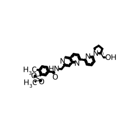 Cc1ccc(C(=O)NCc2cc3nc(-c4cccc(N5CCC[C@H]5CO)n4)ccc3cn2)cc1S(C)(=O)=O